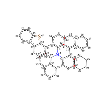 c1ccc(N(c2ccccc2-c2cccc3cccc(C4CCCCC4)c23)c2cccc3ccccc23)c(-c2cccc3c2sc2ccccc23)c1